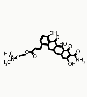 CN(C)CCCOC(=O)/C=C/c1ccc(O)c2c1CC1CC3CC(O)=C(C(N)=O)C(=O)C3C(O)=C1C2=O